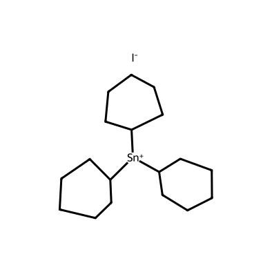 C1CC[CH]([Sn+]([CH]2CCCCC2)[CH]2CCCCC2)CC1.[I-]